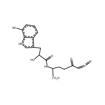 N#Cc1cccc2c(CC(O)C(=O)NC(CCC(=O)C=[N+]=[N-])C(=O)O)c[nH]c12